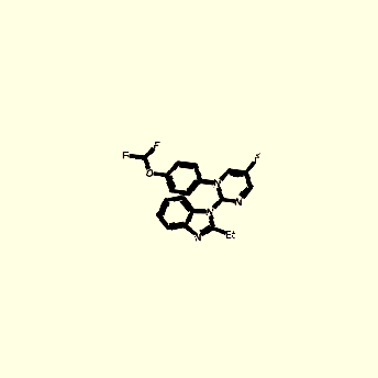 CCc1nc2ccccc2n1C1N=CC(F)=CN1c1ccc(OC(F)F)cc1